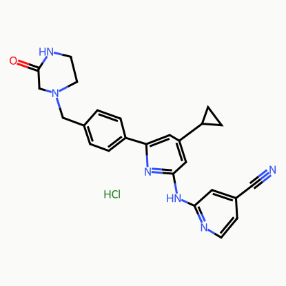 Cl.N#Cc1ccnc(Nc2cc(C3CC3)cc(-c3ccc(CN4CCNC(=O)C4)cc3)n2)c1